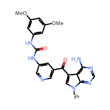 COc1cc(NC(=O)Nc2cncc(C(=O)c3cn(C(C)C)c4ncnc(N)c34)c2)cc(OC)c1